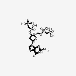 Nc1nc2c(ncn2[C@H]2CC(OP(=O)(O)CP(=O)(O)O)[C@@H](COP(=O)(O)CP(=O)(O)O)O2)c(=O)[nH]1